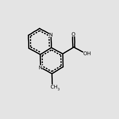 Cc1cc(C(=O)O)c2ncccc2n1